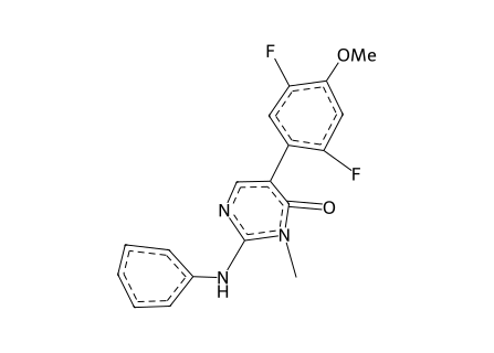 COc1cc(F)c(-c2cnc(Nc3ccccc3)n(C)c2=O)cc1F